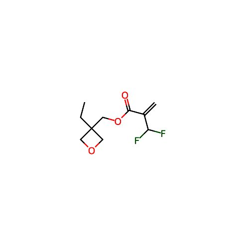 C=C(C(=O)OCC1(CC)COC1)C(F)F